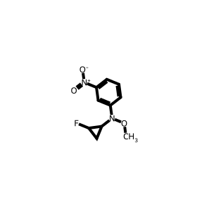 CON(c1cccc([N+](=O)[O-])c1)C1CC1F